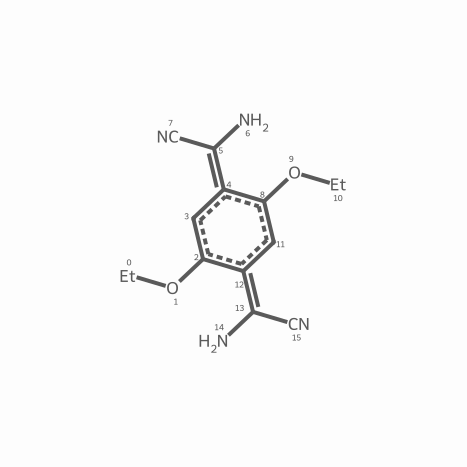 CCOc1c/c(=C(/N)C#N)c(OCC)c/c1=C(/N)C#N